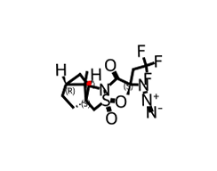 CC1(C)[C@@H]2CC[C@]13CS(=O)(=O)N(C(=O)[C@](C)(CC(F)(F)F)N=[N+]=[N-])[C@@H]3C2